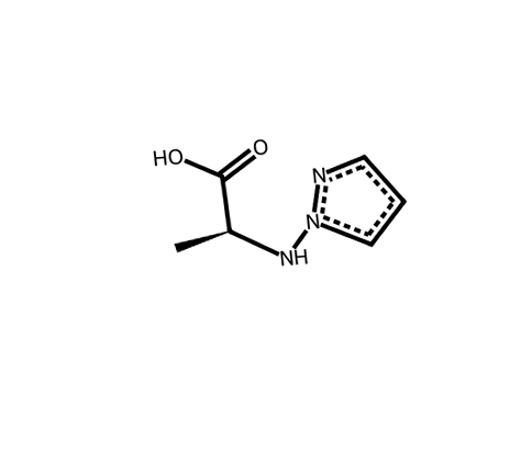 C[C@H](Nn1cccn1)C(=O)O